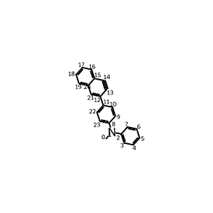 CN(c1ccccc1)c1ccc(-c2c#cc3ccccc3c2)cc1